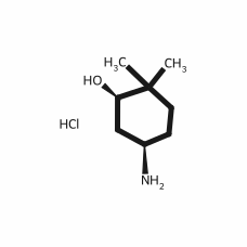 CC1(C)CC[C@@H](N)C[C@H]1O.Cl